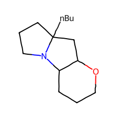 CCCCC12CCCN1C1CCCOC1C2